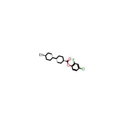 CC[C@H]1CC[C@H]([C@H]2CC[C@H](C(=O)Oc3ccc(Cl)cc3F)CC2)CC1